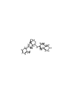 Cn1cc(-c2ccccc2F)nc1CCc1cnc2c(n1)=CCCC=2